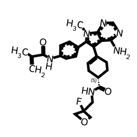 C=C(C)C(=O)Nc1ccc(-c2c(C3=CC[C@@H](C(=O)NCC4(F)COC4)CC3)c3c(N)ncnc3n2C)cc1